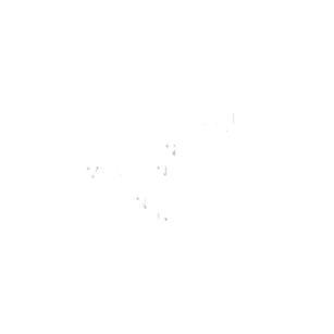 CCOC(=O)c1ccc2nnc(SC)n2n1